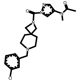 CC(=O)N(C)c1cnn(C(=O)N2CC3(CCN(Cc4cccc(Cl)c4)CC3)C2)c1